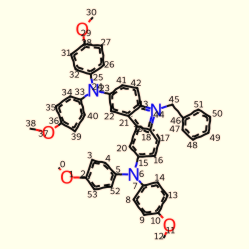 COc1ccc(N(c2ccc(OC)cc2)c2ccc3c(c2)c2cc(N(c4ccc(OC)cc4)c4ccc(OC)cc4)ccc2n3Cc2ccccc2)cc1